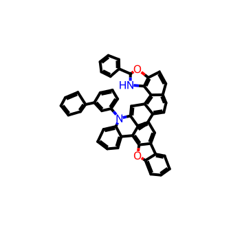 c1ccc(-c2cccc(N(c3ccc4ccc5ccc6c(c5c4c3)NC(c3ccccc3)O6)c3ccccc3-c3cccc4c3oc3ccccc34)c2)cc1